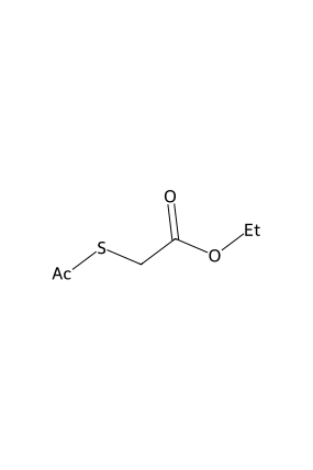 CCOC(=O)CSC(C)=O